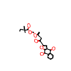 C=C(CC(=O)c1cc2c(o1)C(=O)c1ccccc1C2=O)OCOC(=O)C(C)(C)CC